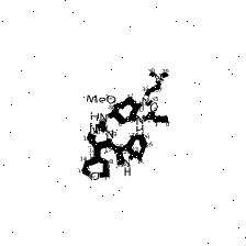 C=CC(=O)Nc1cc(Nc2ncc(C3=CCOCC3)c(-c3c[nH]c4ccccc34)n2)c(OC)cc1N(C)CCN(C)C